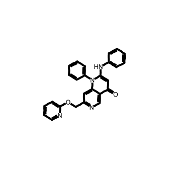 O=c1cc(Nc2ccccc2)n(-c2ccccc2)c2cc(COc3ccccn3)ncc12